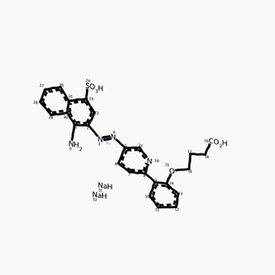 Nc1c(/N=N/c2ccc(-c3ccccc3OCCCC(=O)O)nc2)cc(S(=O)(=O)O)c2ccccc12.[NaH].[NaH]